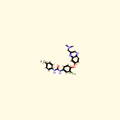 CN(C)Cc1cnc2ccc(Oc3ccc(NC(=O)Nc4ccc(C(F)(F)F)cc4)cc3F)cc2n1